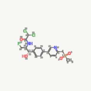 CS(=O)(=O)Cc1ccc(-c2ccc([C@H](O)[C@@H](CF)NC(=O)C(Cl)Cl)cc2)cn1